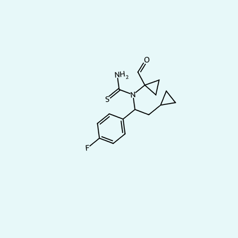 NC(=S)N(C(CC1CC1)c1ccc(F)cc1)C1(C=O)CC1